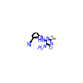 CSc1nc(Cl)c(N)c(NCc2cccc(C#N)c2)n1